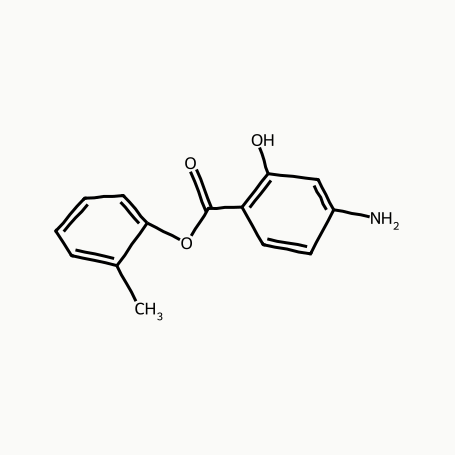 Cc1ccccc1OC(=O)c1ccc(N)cc1O